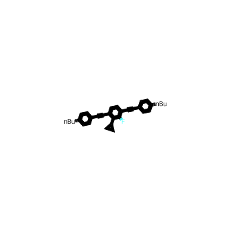 CCCCc1ccc(C#Cc2ccc(C#Cc3ccc(CCCC)cc3)c(C3CC3)c2F)cc1